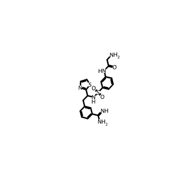 N=C(N)c1cccc(CC(NS(=O)(=O)c2cccc(NC(=O)CN)c2)c2nccs2)c1